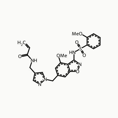 C=CC(=O)NCc1cnn(Cc2cc(OC)c3c(NS(=O)(=O)c4ccccc4OC)noc3c2)c1